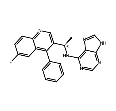 C[C@@H](Nc1ncnc2[nH]cnc12)c1cnc2ccc(F)cc2c1-c1ccccc1